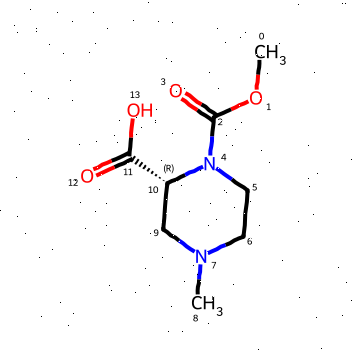 COC(=O)N1CCN(C)C[C@@H]1C(=O)O